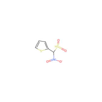 O=[N+]([O-])C(c1cccs1)[SH](=O)=O